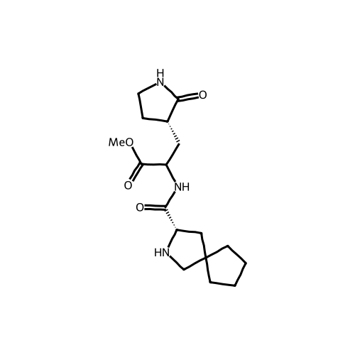 COC(=O)C(C[C@@H]1CCNC1=O)NC(=O)[C@@H]1CC2(CCCC2)CN1